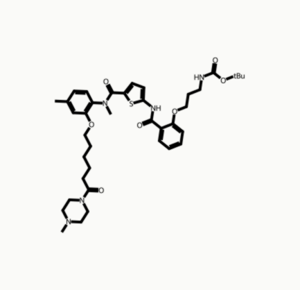 Cc1ccc(N(C)C(=O)c2ccc(NC(=O)c3ccccc3OCCCNC(=O)OC(C)(C)C)s2)c(OCCCCCC(=O)N2CCN(C)CC2)c1